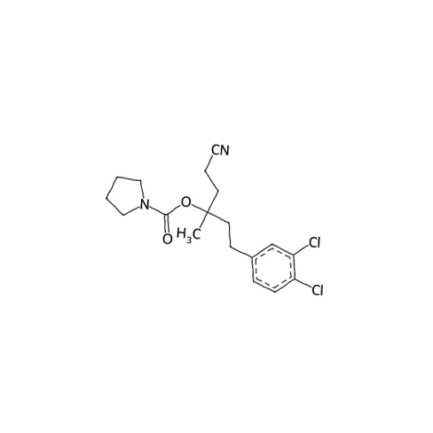 CC(CCC#N)(CCc1ccc(Cl)c(Cl)c1)OC(=O)N1CCCC1